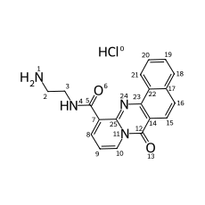 Cl.NCCNC(=O)c1cccn2c(=O)c3ccc4ccccc4c3nc12